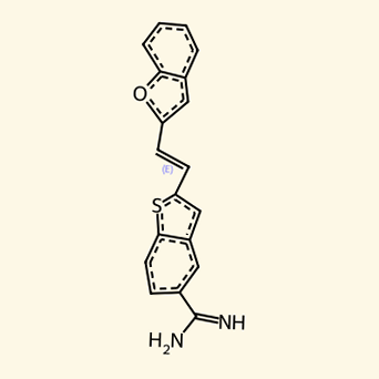 N=C(N)c1ccc2sc(/C=C/c3cc4ccccc4o3)cc2c1